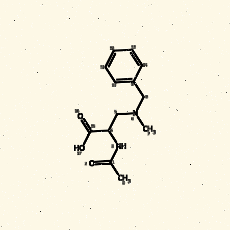 CC(=O)NC(CN(C)Cc1ccccc1)C(=O)O